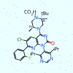 CC(C)c1ncnc(C(C)C)c1-n1c(=O)nc(N2C[C@@](C)(C(C)(C)C)N(C(=O)O)C[C@@H]2C)c2cc(Cl)c(-c3ccccc3F)nc21